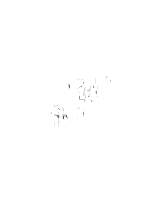 [2H]C([2H])(c1ccc(F)cc1)N(C(=O)NCc1ccc(OC([2H])([2H])C([2H])(C([2H])([2H])[2H])C([2H])([2H])[2H])cc1)C1CCN(C)CC1